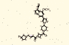 COc1cc(-c2cnn(C3CCN(C(=O)C4CN(C(=O)/C=C/CN5CC[C@@H](F)C5)C4)CC3)c2)cn2ncc(C#N)c12